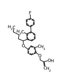 C=C(O)COc1ccc(OC(CCCC)c2cccc(-c3ccc(F)cc3)c2C)cc1C